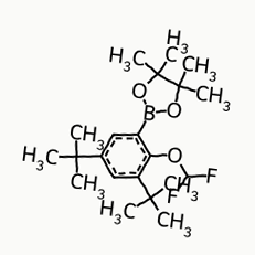 CC(C)(C)c1cc(B2OC(C)(C)C(C)(C)O2)c(OC(F)F)c(C(C)(C)C)c1